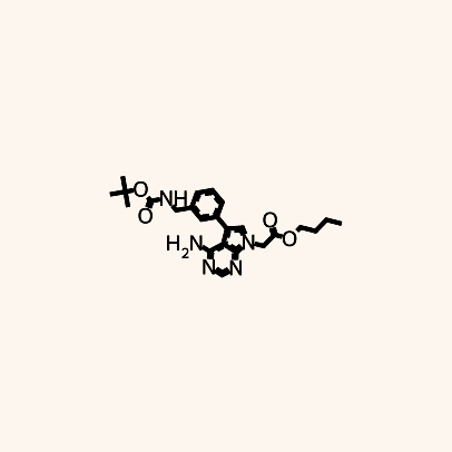 CCCCOC(=O)Cn1cc(-c2cccc(CNC(=O)OC(C)(C)C)c2)c2c(N)ncnc21